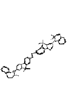 CC1CCc2ccccc2N1C1=CC2C(C=C1)c1ccc(/C=C/c3ccc4c(c3)C(C)(C)C3C=C(N5C6=C(C=CCC6)C=CC5(C)C)C=CC43)cc1C2(C)C